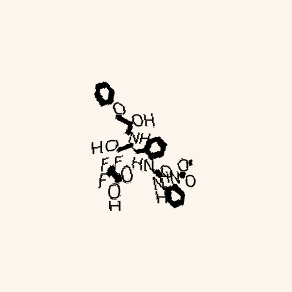 COC(=O)Nc1ccccc1NC(=O)Nc1ccccc1C[C@@H](CO)NC[C@H](O)COc1ccccc1.O=C(O)C(F)(F)F